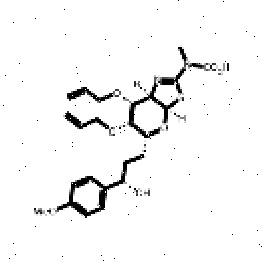 C=CCO[C@@H]1[C@H]2N=C(N(C)C(=O)O)S[C@H]2O[C@H](CC[C@H](O)c2ccc(OC)cc2)[C@@H]1OCC=C